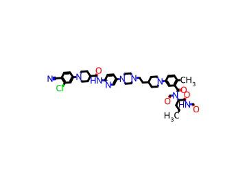 CCCC(C(=O)NC=O)N(C=O)C(=O)c1cc(N2CCC(CCN3CCN(c4ccc(NC(=O)C5CCN(c6ccc(C#N)c(Cl)c6)CC5)nc4)CC3)CC2)ccc1C